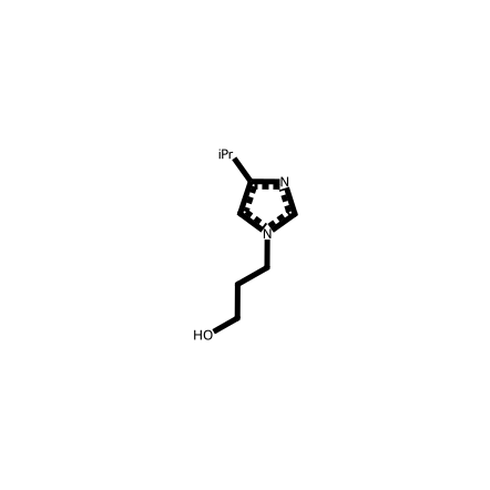 CC(C)c1cn(CCCO)cn1